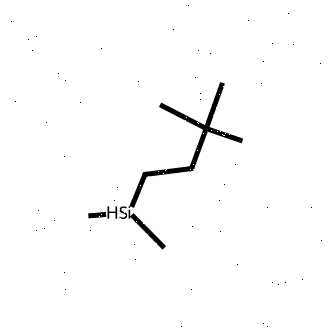 C[SiH](C)CCC(C)(C)C